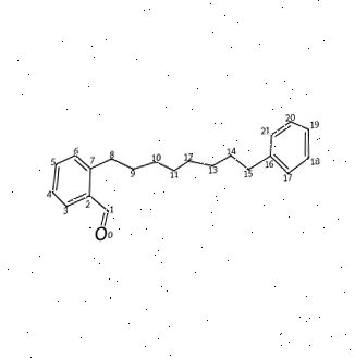 O=Cc1ccccc1CCCCCCCCc1ccccc1